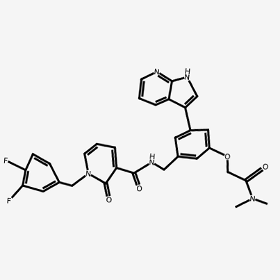 CN(C)C(=O)COc1cc(CNC(=O)c2cccn(Cc3ccc(F)c(F)c3)c2=O)cc(-c2c[nH]c3ncccc23)c1